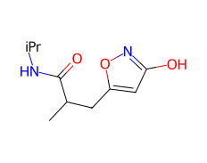 CC(C)NC(=O)C(C)Cc1cc(O)no1